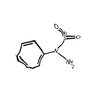 NN(c1cc[c]cc1)[SH](=O)=O